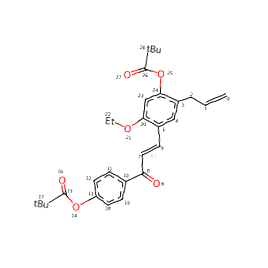 C=CCc1cc(/C=C/C(=O)c2ccc(OC(=O)C(C)(C)C)cc2)c(OCC)cc1OC(=O)C(C)(C)C